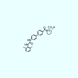 Cc1cccc(C)c1NC(=O)Nc1ccc(-c2ccc(C(=O)N3CCCC[C@H]3C(=O)O)cc2)cc1